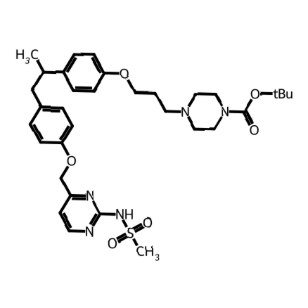 CC(Cc1ccc(OCc2ccnc(NS(C)(=O)=O)n2)cc1)c1ccc(OCCCN2CCN(C(=O)OC(C)(C)C)CC2)cc1